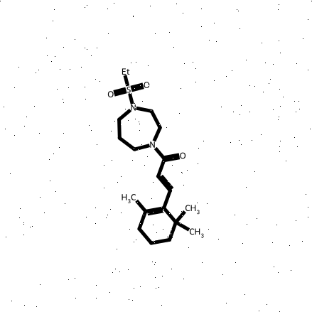 CCS(=O)(=O)N1CCCN(C(=O)C=CC2=C(C)CCCC2(C)C)CC1